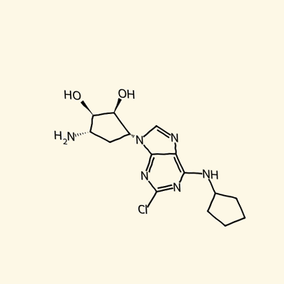 N[C@H]1C[C@@H](n2cnc3c(NC4CCCC4)nc(Cl)nc32)[C@H](O)[C@@H]1O